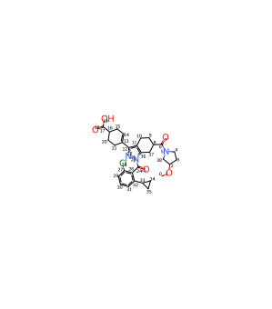 CO[C@@H]1CCN(C(=O)C2CCc3c(C4=CCC(C(=O)O)CC4)nn(C(=O)c4c(Cl)cccc4C4CC4)c3C2)C1